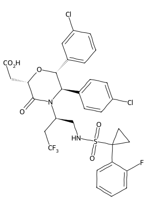 O=C(O)C[C@@H]1O[C@H](c2cccc(Cl)c2)[C@@H](c2ccc(Cl)cc2)N([C@@H](CNS(=O)(=O)C2(c3ccccc3F)CC2)CC(F)(F)F)C1=O